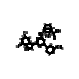 Cc1cccc(-c2cc(N[C@H]3C4CCC(CC4)[C@@H]3C(=O)O)nc(-c3c[nH]c4c(F)cc(F)cc34)n2)c1